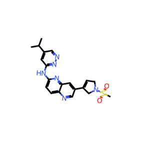 CC(C)c1cnnc(Nc2ccc3ncc(C4=CCN(S(C)(=O)=O)C4)cc3n2)c1